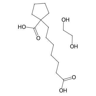 O=C(O)CCCCCCC1(C(=O)O)CCCC1.OCCO